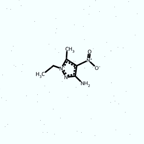 CCn1nc(N)c([N+](=O)[O-])c1C